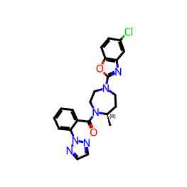 C[C@@H]1CCN(c2nc3cc(Cl)ccc3o2)CCN1C(=O)c1ccccc1-n1nccn1